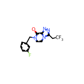 O=c1c2nnc(CC(F)(F)F)n2ccn1Cc1cccc(F)c1